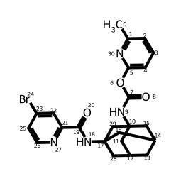 Cc1cccc(OC(=O)NC23CC4CC(C2)CC(NC(=O)c2cc(Br)ccn2)(C4)C3)n1